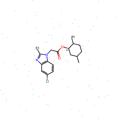 CCc1nc2cc(Cl)ccc2n1CC(=O)O[C@@H]1CC(C)CCC1C(C)C